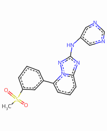 CS(=O)(=O)c1cccc(-c2cccc3nc(Nc4cncnc4)nn23)c1